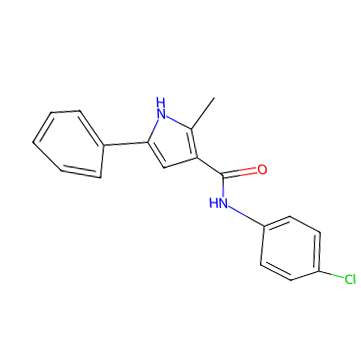 Cc1[nH]c(-c2ccccc2)cc1C(=O)Nc1ccc(Cl)cc1